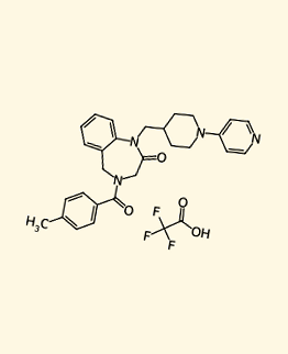 Cc1ccc(C(=O)N2CC(=O)N(CC3CCN(c4ccncc4)CC3)c3ccccc3C2)cc1.O=C(O)C(F)(F)F